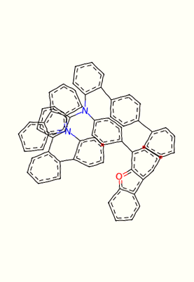 c1ccc(-c2ccc(-c3ccccc3N(c3ccc(-c4cccc5c4oc4ccccc45)cc3)c3cccc(-c4ccccc4-c4ccccc4-n4c5ccccc5c5ccccc54)c3)cc2)cc1